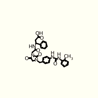 Cc1ccccc1NC(=O)Nc1ccc(CN2CC(=O)N(CC(=O)NC(CC(=O)O)c3ccccc3)C2=O)cc1